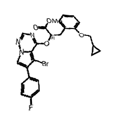 COC(=O)[C@@H](Cc1ccccc1OCC1CC1)Oc1ncnn2cc(-c3ccc(F)cc3)c(Br)c12